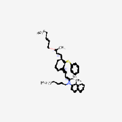 CC(=B/CCCCS(=O)(=O)O)/C=C/C1=C(Sc2ccccc2)C(=C/C=C(\C)N(CCCCS(=O)(=O)O)c2ccc3ccccc3c2C)/CCC1